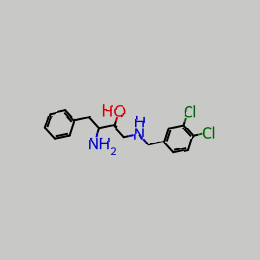 NC(Cc1ccccc1)C(O)CNCc1ccc(Cl)c(Cl)c1